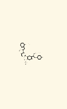 CNC(=O)c1c(-c2ccc(C)cc2)oc2cc(N(C)S(C)(=O)=O)c(-c3ncc4c(n3)-c3cc5c(C#N)cccc5n3CO4)cc12